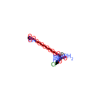 CC(C)[C@H](NC(=O)CCOCCOCCOCCOCCOCCOCCOCCOCCNC(=O)CCN1C(=O)C=CC1=O)C(=O)N[C@@H](CCCNC(N)=O)C(=O)Nc1ccc(CCl)cc1